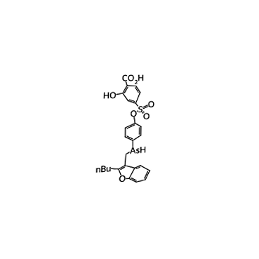 CCCCc1oc2ccccc2c1C[AsH]c1ccc(OS(=O)(=O)c2ccc(C(=O)O)c(O)c2)cc1